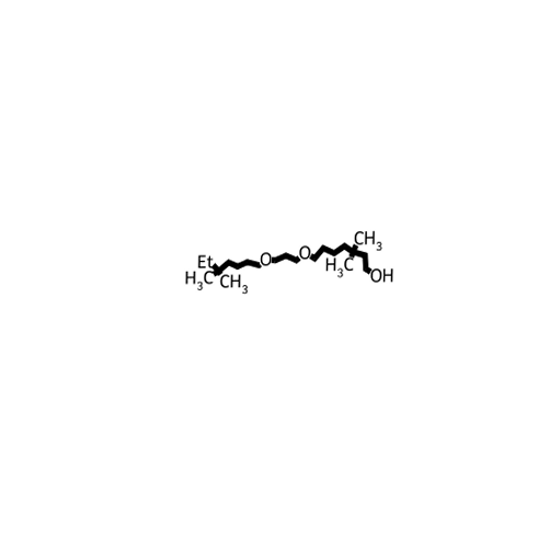 CCC(C)(C)CCCCOCCCOCCCCC(C)(C)CCO